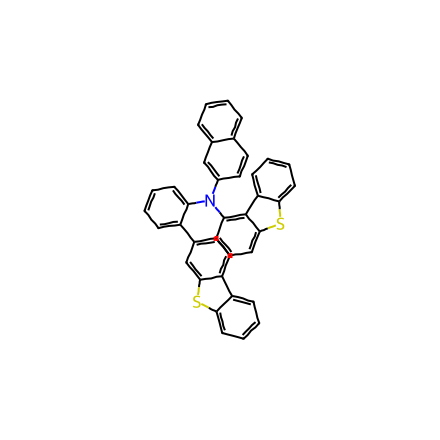 c1ccc(N(c2ccc3ccccc3c2)c2cccc3sc4ccccc4c23)c(-c2ccc3c(c2)sc2ccccc23)c1